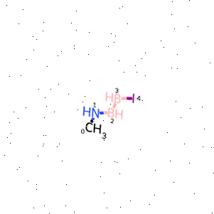 CNBBI